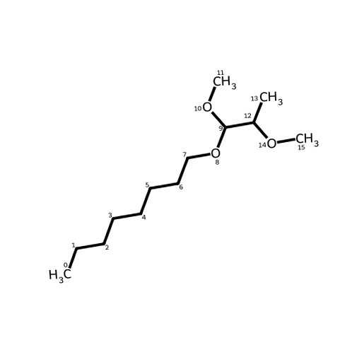 CCCCCCCCOC(OC)C(C)OC